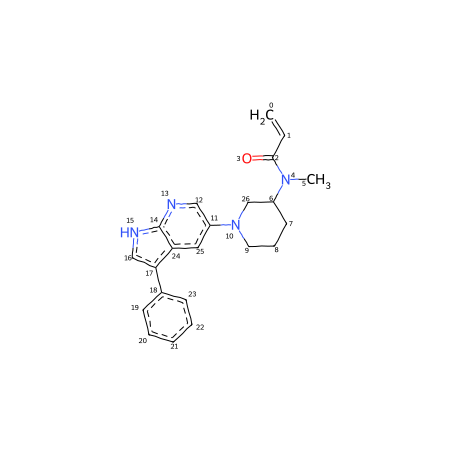 C=CC(=O)N(C)C1CCCN(c2cnc3[nH]cc(-c4ccccc4)c3c2)C1